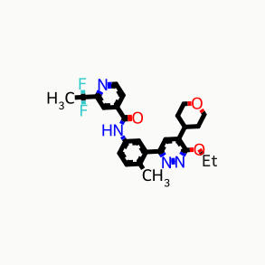 CCOc1nnc(-c2cc(NC(=O)c3ccnc(C(C)(F)F)c3)ccc2C)cc1C1CCOCC1